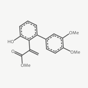 C=C(C(=O)OC)c1c(O)cccc1-c1ccc(OC)c(OC)c1